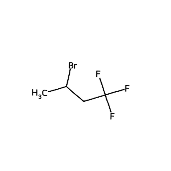 CC(Br)CC(F)(F)F